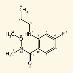 CCCNc1cc(F)ccc1C(=O)N(C)OC